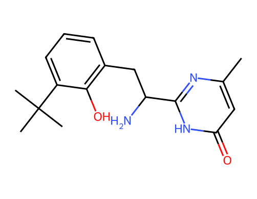 Cc1cc(=O)[nH]c(C(N)Cc2cccc(C(C)(C)C)c2O)n1